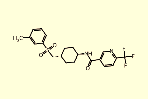 Cc1cccc(S(=O)(=O)C[C@H]2CC[C@H](NC(=O)c3ccc(C(F)(F)F)nc3)CC2)c1